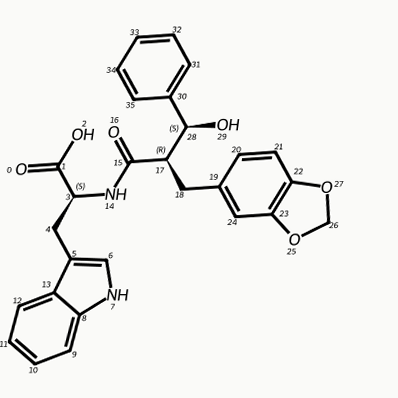 O=C(O)[C@H](Cc1c[nH]c2ccccc12)NC(=O)[C@H](Cc1ccc2c(c1)OCO2)[C@H](O)c1ccccc1